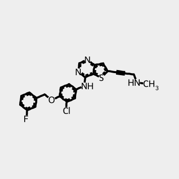 CNCC#Cc1cc2ncnc(Nc3ccc(OCc4cccc(F)c4)c(Cl)c3)c2s1